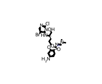 CN(C)/C=N/S(=O)(=O)c1ccc(N)cc1OCCC[C@H](CO)Nc1nc(Cl)ncc1Br